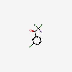 O=C(c1cccc(F)c1)C(F)(F)I